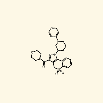 O=C(c1nn(C2CCCN(c3cccnc3)C2)c2c1CS(=O)(=O)c1ccccc1-2)N1CCOCC1